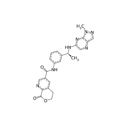 C[C@H](Nc1cnc2cnn(C)c2n1)c1cccc(NC(=O)c2cnc3c(c2)CCOC3=O)c1